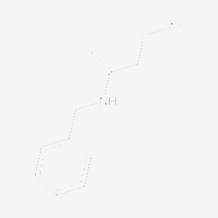 CC(=O)SCC(=O)NCc1ccccc1